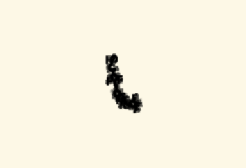 C=C(/C=C\CC(F)OC)c1cc(F)c(C#Cc2ccc3nc(C(F)(F)Oc4cc(F)c(F)c(F)c4)sc3c2)c(F)c1